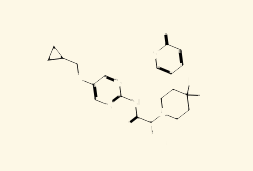 C[C@@H](C(=O)Nc1ncc(OCC2CC2)cn1)N1CCC(F)(F)[C@@H](c2ccc(=O)[nH]c2)C1